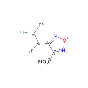 CCOC(=O)c1nonc1C(F)C(F)F